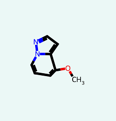 COc1cccn2nccc12